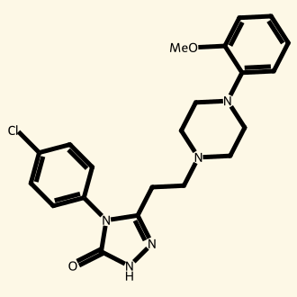 COc1ccccc1N1CCN(CCc2n[nH]c(=O)n2-c2ccc(Cl)cc2)CC1